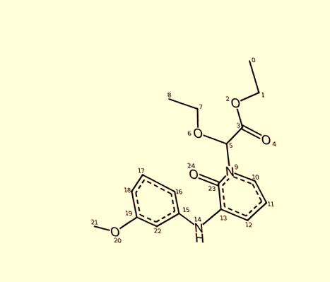 CCOC(=O)C(OCC)n1cccc(Nc2cccc(OC)c2)c1=O